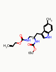 C=CCOC(=O)NC[C@@H](Cc1c[nH]c2ccc(C)cc12)NC(=O)OC(C)(C)C